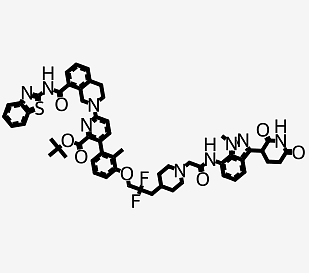 Cc1c(OCC(F)(F)CC2CCN(CC(=O)Nc3cccc4c(C5CCC(=O)NC5=O)nn(C)c34)CC2)cccc1-c1ccc(N2CCc3cccc(C(=O)Nc4nc5ccccc5s4)c3C2)nc1C(=O)OC(C)(C)C